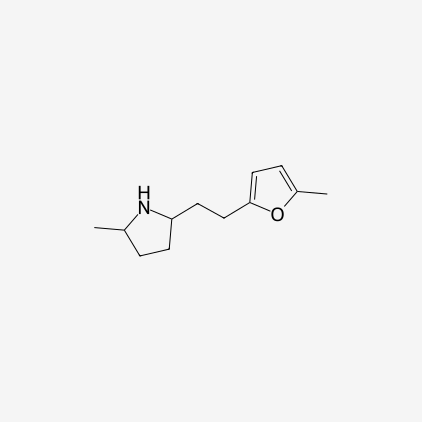 Cc1ccc(CCC2CCC(C)N2)o1